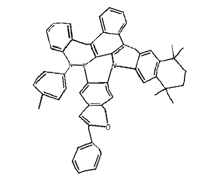 Cc1ccc(N2B3c4cc5cc(-c6ccccc6)oc5cc4-n4c5cc6c(cc5c5c7ccccc7c(c3c54)-c3ccccc32)C(C)(C)CCC6(C)C)cc1